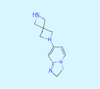 C1=CN2CCN=C2C=C1N1CC2(CNC2)C1